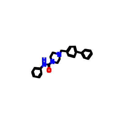 O=C(Nc1ccccc1)N1CCN(Cc2ccc(-c3ccccc3)cc2)CC1